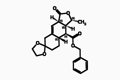 C[C@H]1OC(=O)[C@@H]2C=C3CC4(CC[C@H]3[C@H](C(=O)OCc3ccccc3)[C@H]12)OCCO4